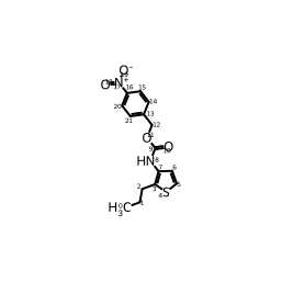 CCCc1sccc1NC(=O)OCc1ccc([N+](=O)[O-])cc1